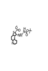 COC(=O)c1sc2ccc3ncccc3c2c1NCCNC(=O)OC(C)(C)C